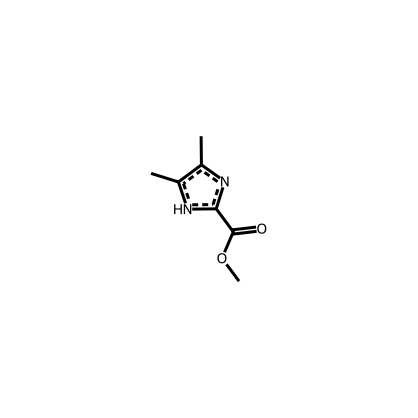 COC(=O)c1nc(C)c(C)[nH]1